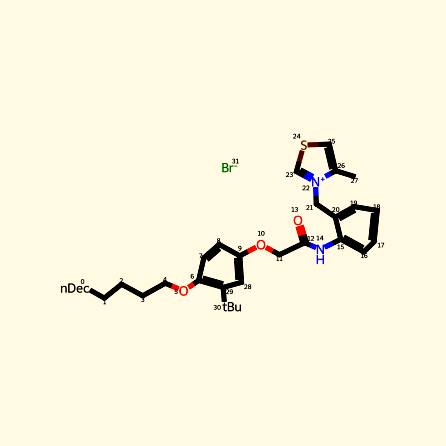 CCCCCCCCCCCCCCOc1ccc(OCC(=O)Nc2ccccc2C[n+]2cscc2C)cc1C(C)(C)C.[Br-]